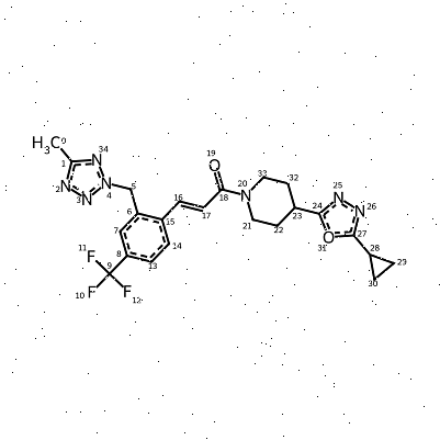 Cc1nnn(Cc2cc(C(F)(F)F)ccc2C=CC(=O)N2CCC(c3nnc(C4CC4)o3)CC2)n1